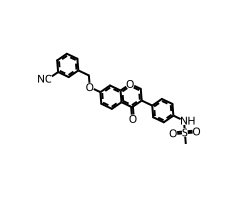 CS(=O)(=O)Nc1ccc(-c2coc3cc(OCc4cccc(C#N)c4)ccc3c2=O)cc1